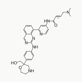 CN(C)C/C=C/C(=O)Nc1ccnc(-c2cccc3cnc(Nc4ccc(C5(CO)CNCCO5)cc4)nc23)c1